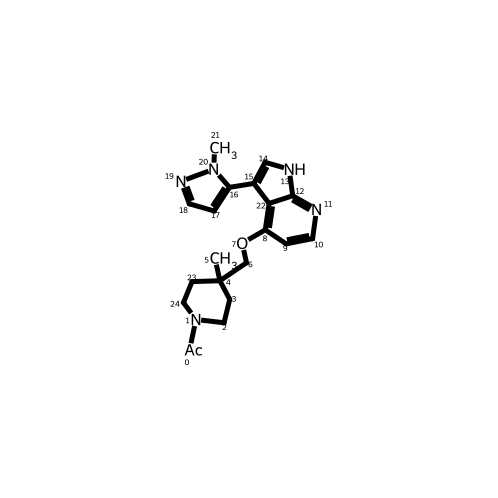 CC(=O)N1CCC(C)(COc2ccnc3[nH]cc(-c4ccnn4C)c23)CC1